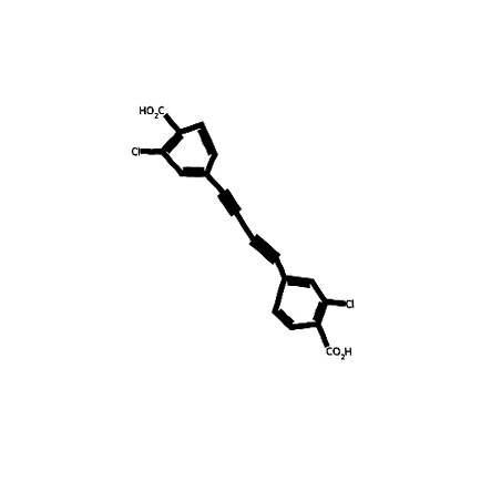 O=C(O)c1ccc(C#CC#Cc2ccc(C(=O)O)c(Cl)c2)cc1Cl